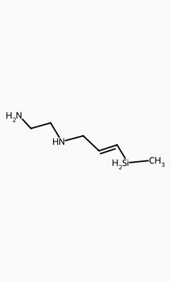 C[SiH2]C=CCNCCN